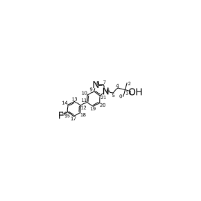 CC(C)(O)CCn1cnc2cc(-c3ccc(F)cc3)ccc21